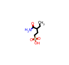 CCC(CCS(=O)(=O)O)C(N)=O